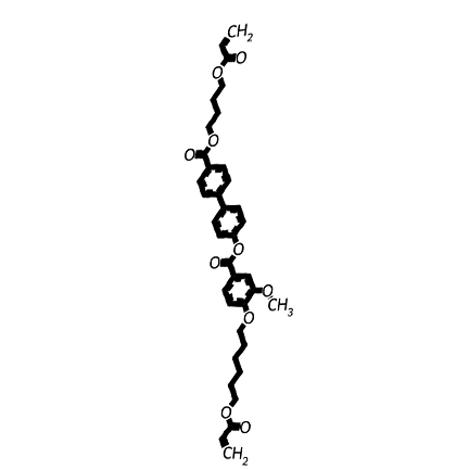 C=CC(=O)OCCCCCCOc1ccc(C(=O)Oc2ccc(-c3ccc(C(=O)OCCCCOC(=O)C=C)cc3)cc2)cc1OC